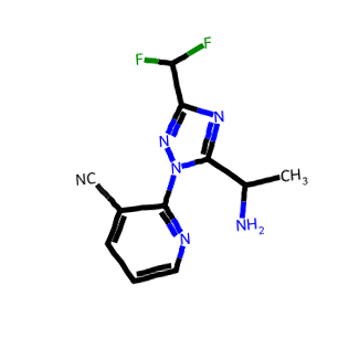 CC(N)c1nc(C(F)F)nn1-c1ncccc1C#N